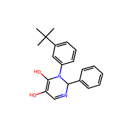 CC(C)(C)c1cccc(N2C(O)=C(O)C=NC2c2ccccc2)c1